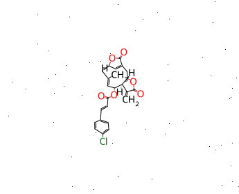 C=C1C(=O)O[C@H]2CC3=C[C@@H](C/C(C)=C/[C@@H](OC(=O)/C=C/c4ccc(Cl)cc4)[C@H]12)OC3=O